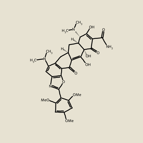 COc1cc(OC)c(-c2nc3cc(N(C)C)c4c(c3o2)C(=O)C2=C(O)[C@]3(O)C(=O)C(C(N)=O)=C(O)[C@@H](N(C)C)[C@@H]3C[C@@H]2C4)c(OC)c1